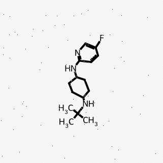 CC(C)(C)NC1CCC(Nc2ccc(F)cn2)CC1